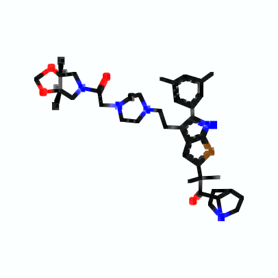 Cc1cc(C)cc(-c2[nH]c3sc(C(C)(C)C(=O)C4C5CCN4CC5)cc3c2CCN2CCN(CC(=O)N3C[C@@H]4OCO[C@@H]4C3)CC2)c1